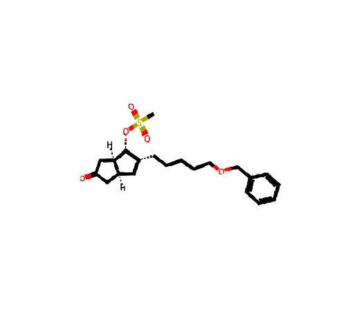 CS(=O)(=O)O[C@@H]1[C@H](CCCCCOCc2ccccc2)C[C@H]2CC(=O)C[C@H]21